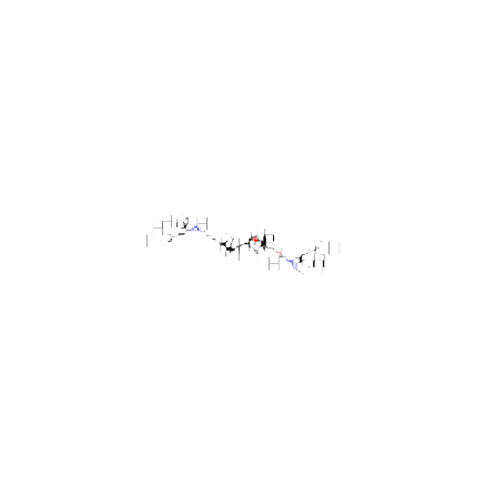 CCCCCCC(C/C=C\CCCCCCCC(=O)OC(C)(C)CCCCCCC(C)(C)OC(=O)CCCCCCC/C=C\CC(CCCCCC)C(C)(C)O)C(C)(C)O